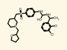 CC(NC(O)Nc1ccc(S(=O)(=O)CC2CCCN(CC3CCCO3)C2)cc1)c1cccc(Cl)c1Cl